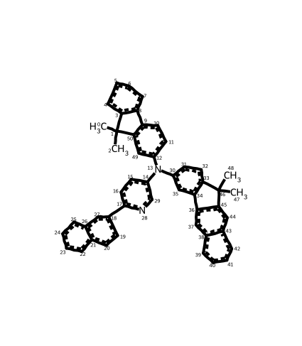 CC1(C)c2ccccc2-c2ccc(N(c3ccc(-c4ccc5ccccc5c4)nc3)c3ccc4c(c3)-c3cc5ccccc5cc3C4(C)C)cc21